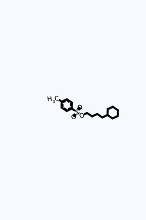 Cc1ccc(S(=O)(=O)OCCCCC2CCCCC2)cc1